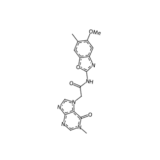 COc1cc2nc(NC(=O)Cn3cnc4ncn(C)c(=O)c43)oc2cc1C